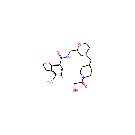 Nc1c(Cl)cc(C(=O)NCC2CN(CC3CCN(C(=O)CO)CC3)CCO2)c2c1CCO2